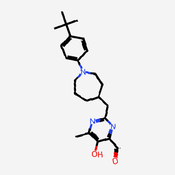 Cc1nc(CC2CCCN(c3ccc(C(C)(C)C)cc3)CC2)nc([C]=O)c1O